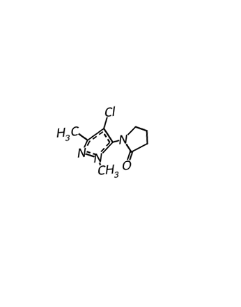 Cc1nn(C)c(N2CCCC2=O)c1Cl